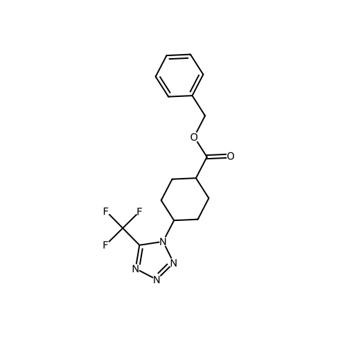 O=C(OCc1ccccc1)C1CCC(n2nnnc2C(F)(F)F)CC1